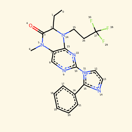 CCC1C(=O)N(C)c2cnc(-n3ccnc3-c3ccccc3)nc2N1CCC(F)(F)F